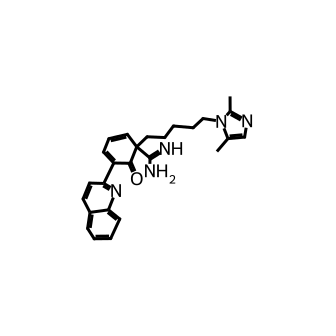 Cc1cnc(C)n1CCCCCC1(C(=N)N)C=CC=C(c2ccc3ccccc3n2)C1=O